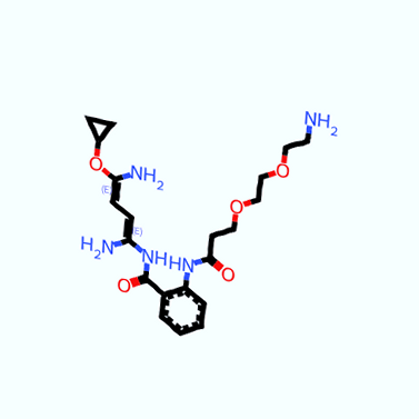 NCCOCCOCCC(=O)Nc1ccccc1C(=O)N/C(N)=C/C=C(\N)OC1CC1